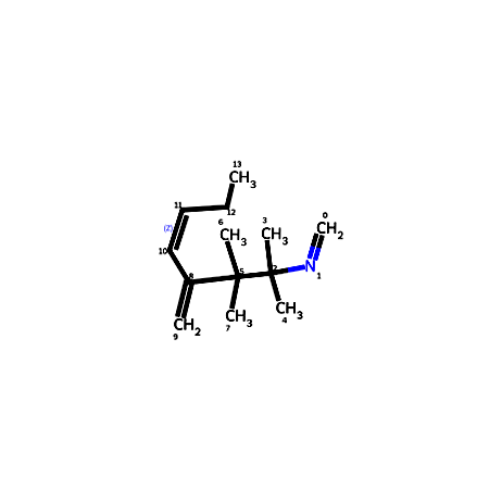 C=NC(C)(C)C(C)(C)C(=C)/C=C\CC